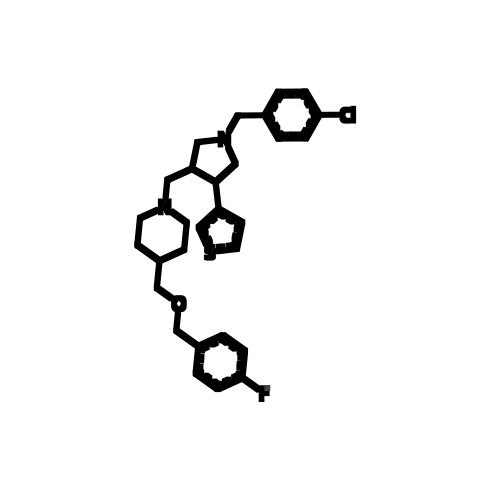 Fc1ccc(COCC2CCN(CC3CN(Cc4ccc(Cl)cc4)CC3c3ccsc3)CC2)cc1